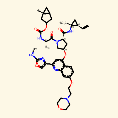 C=C[C@@H]1C[C@]1(NC(=O)[C@@H]1C[C@@H](Oc2cc(-c3coc(NC(C)C)n3)nc3cc(OCCN4CCOCC4)ccc23)CN1C(=O)[C@@H](NC(=O)OC1CC2C[C@H]2C1)C(C)(C)C)C(=O)O